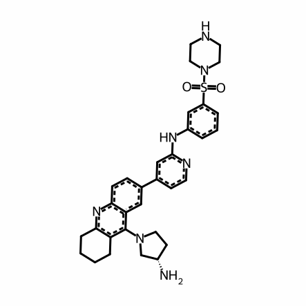 N[C@H]1CCN(c2c3c(nc4ccc(-c5ccnc(Nc6cccc(S(=O)(=O)N7CCNCC7)c6)c5)cc24)CCCC3)C1